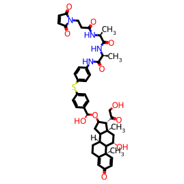 C[C@H](NC(=O)CCN1C(=O)C=CC1=O)C(=O)N[C@@H](C)C(=O)Nc1ccc(Sc2ccc([C@H](O)OC3CC4[C@@H]5CCC6=CC(=O)C=C[C@]6(C)C5[C@@H](O)C[C@]4(C)[C@H]3C(=O)CO)cc2)cc1